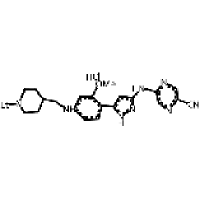 CCN1CCC(CNc2ccc(-c3cc(Nc4cnc(C#N)cn4)n[nH]3)c(OC)c2)CC1.Cl